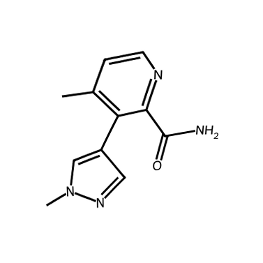 Cc1ccnc(C(N)=O)c1-c1cnn(C)c1